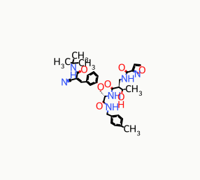 Cc1ccc(CNC(=O)[C@H](COc2cccc(C=C(C#N)C(=O)NC(C)(C)C)c2)NC(=O)[C@@H](CNC(=O)c2ccon2)[C@@H](C)O)cc1